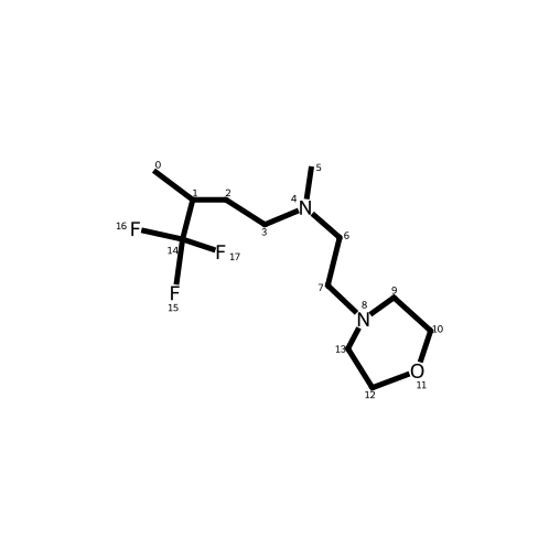 CC(CCN(C)CCN1CCOCC1)C(F)(F)F